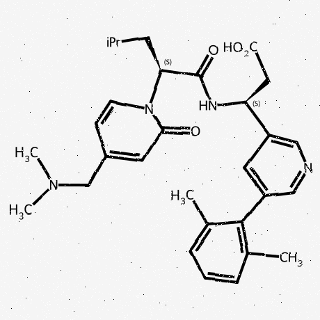 Cc1cccc(C)c1-c1cncc([C@H](CC(=O)O)NC(=O)[C@H](CC(C)C)n2ccc(CN(C)C)cc2=O)c1